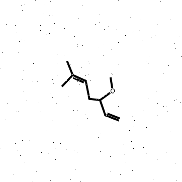 C=CC(CC=C(C)C)OC